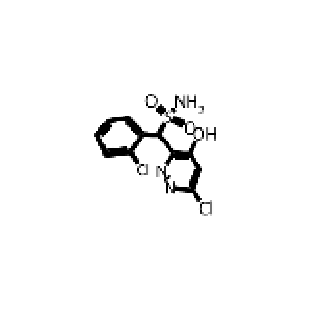 NS(=O)(=O)C(c1ccccc1Cl)c1nnc(Cl)cc1O